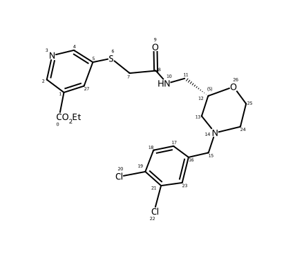 CCOC(=O)c1cncc(SCC(=O)NC[C@H]2CN(Cc3ccc(Cl)c(Cl)c3)CCO2)c1